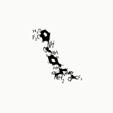 Cc1ccc(NC(=O)Nc2cccc(CNc3cn(OC(=O)C(F)(F)F)nc3C(N)=O)c2)cc1C(F)(F)F